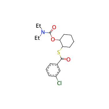 CCN(CC)C(=O)OC1CCCCC1SC(=O)c1cccc(Cl)c1